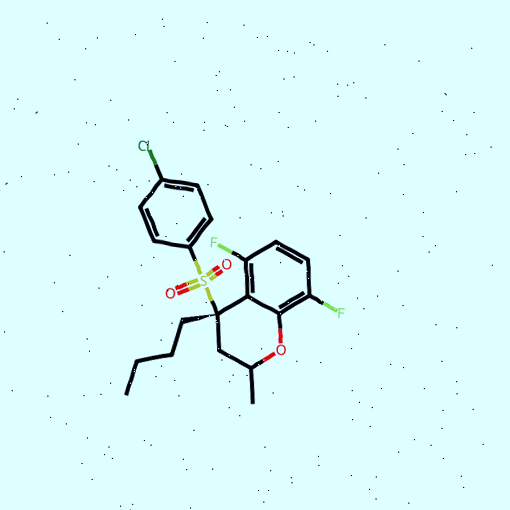 CCCC[C@]1(S(=O)(=O)c2ccc(Cl)cc2)CC(C)Oc2c(F)ccc(F)c21